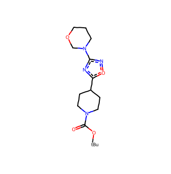 CC(C)(C)OC(=O)N1CCC(c2nc(N3CCCOC3)no2)CC1